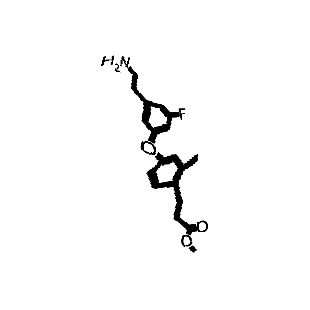 COC(=O)CCc1ccc(Oc2cc(F)cc(CCN)c2)cc1C